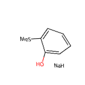 CSc1ccccc1O.[NaH]